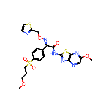 COCCCS(=O)(=O)c1ccc(/C(=N\OCc2nccs2)C(=O)Nc2nc3ncc(OC)nc3s2)cc1